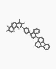 Cc1cnc2c(ccc3c(C)c(C)c(-c4ccc(-c5ccc(-c6ccc7c8c(cccc68)-c6ccccc6-7)c6ccccc56)cc4)nc32)c1C